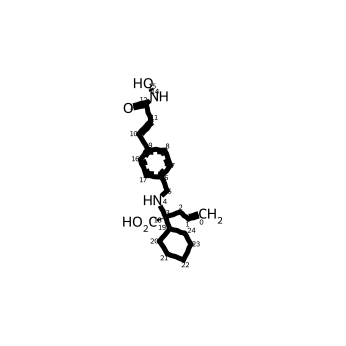 C=CC[C@@](NCc1ccc(/C=C/C(=O)NO)cc1)(C(=O)O)C1CCCCC1